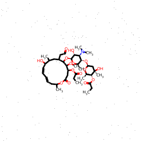 CCC(=O)OC1CC(=O)OC(C)C/C=C/C=C\C(O)C(C)CC(CC=O)C(O[C@@H]2O[C@H](C)[C@@H](O[C@H]3C[C@@](C)(O)[C@H](OC(=O)CC)[C@@H](C)O3)[C@H](N(C)C)[C@H]2O)C1OC